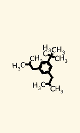 CC(C)Cc1cc(CC(C)C)cc(C(C)(C)C)c1